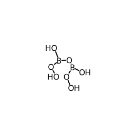 OOB(O)OB(O)OO